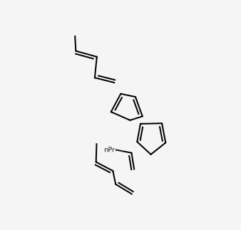 C1=CCC=C1.C1=CCC=C1.C=CC=CC.C=CC=CC.C=CCCC